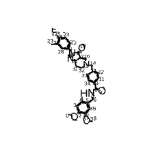 COc1ccc(CNC(=O)c2ccc(CN3C=C4C(=O)N(c5ccc(F)c(C)c5)N=C4CC3)cc2)cc1OC